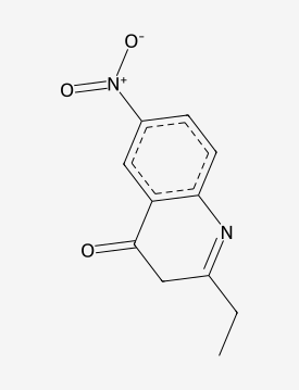 CCC1=Nc2ccc([N+](=O)[O-])cc2C(=O)C1